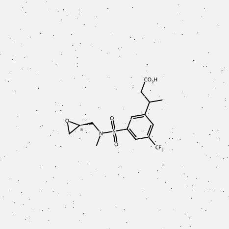 CC(CC(=O)O)c1cc(C(F)(F)F)cc(S(=O)(=O)N(C)C[C@H]2CO2)c1